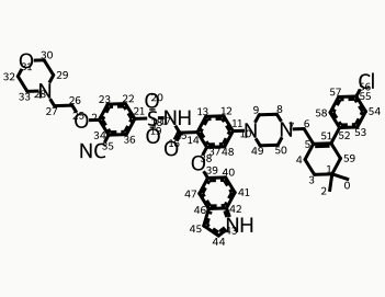 CC1(C)CCC(CN2CCN(c3ccc(C(=O)NS(=O)(=O)c4ccc(OCCN5CCOCC5)c(C#N)c4)c(Oc4ccc5[nH]ccc5c4)c3)CC2)=C(c2ccc(Cl)cc2)C1